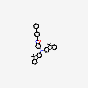 CC1(C)c2ccccc2-c2ccc(N(c3ccc4c(c3)C(C)(C)c3ccccc3-4)c3ccc4nc(-c5ccc(-c6ccccc6)cc5)oc4c3)cc21